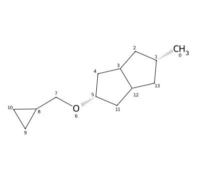 C[C@H]1CC2C[C@@H](OCC3CC3)CC2C1